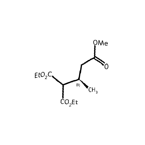 CCOC(=O)C(C(=O)OCC)[C@H](C)CC(=O)OC